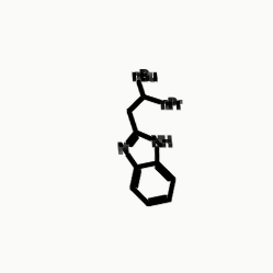 CCCCC(CCC)Cc1nc2ccccc2[nH]1